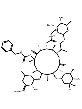 CON=C1CC(C)O[C@@H](O[C@@H]2[C@@H](C)[C@H](O[C@H]3C[C@@](C)(O)C(O)[C@H](C)O3)[C@@H](C)C(=O)O[C@H](C(C)COC3O[C@H](C)[C@@H](O)[C@@H](OC)[C@H]3OC)[C@H](C)[C@@H](OC(=O)CC(C)C)[C@@H](C)C(=O)[C@@](C)(OC(=O)NCc3ccccc3)C[C@@H]2C)[C@@H]1O